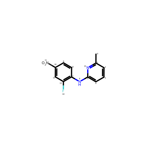 Cc1cccc(Nc2ccc([N+](=O)[O-])cc2F)n1